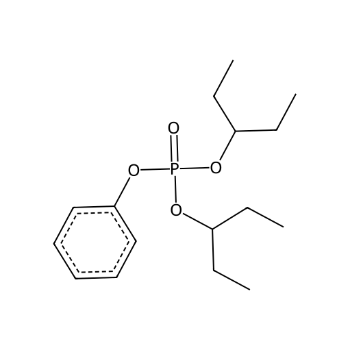 CCC(CC)OP(=O)(Oc1ccccc1)OC(CC)CC